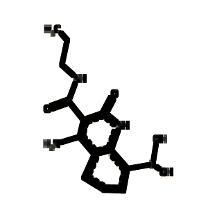 CCCNC(=O)c1c(N)c2cccc(B(O)O)c2[nH]c1=O